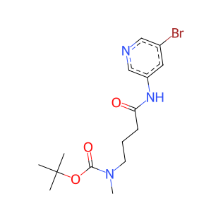 CN(CCCC(=O)Nc1cncc(Br)c1)C(=O)OC(C)(C)C